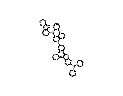 c1ccc(-c2ccccc2N(c2ccc(-c3ccc4c(c3)c3ccccc3c3c5ccc(N(c6ccccc6)c6ccccc6)cc5sc43)cc2)c2cccc3c2oc2ccccc23)cc1